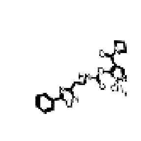 Cn1ncc(C(=O)N2CCC2)c1OC(=O)NCCc1noc(-c2ccccc2)n1